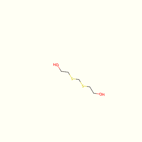 OCCSCSCCO